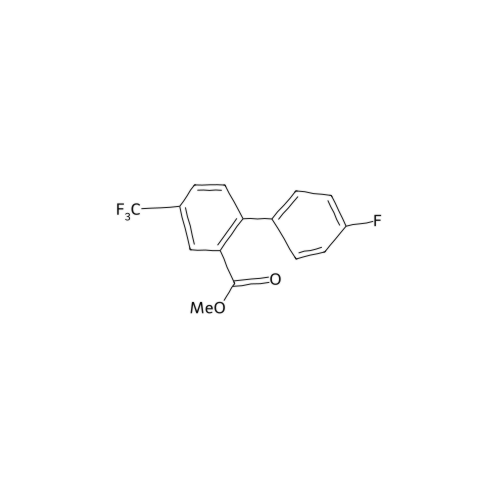 COC(=O)c1cc(C(F)(F)F)ccc1-c1ccc(F)cc1